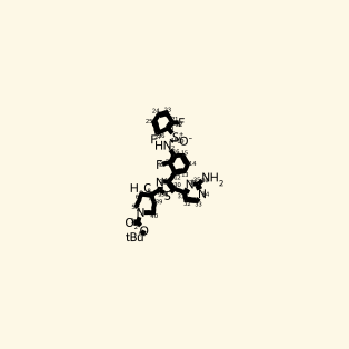 CC(C)(C)OC(=O)N1CCC(C)(c2nc(-c3cccc(N[S+]([O-])c4c(F)cccc4F)c3F)c(-c3ccnc(N)n3)s2)CC1